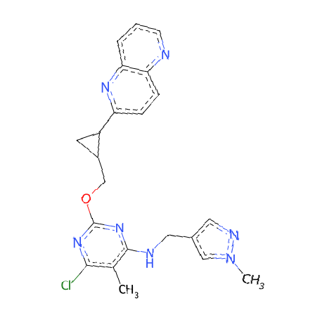 Cc1c(Cl)nc(OCC2CC2c2ccc3ncccc3n2)nc1NCc1cnn(C)c1